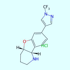 Cl.FC(F)(F)n1cc(-c2ccc3c(c2)O[C@H]2CCCN[C@@H]32)cn1